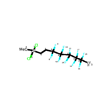 CO[Si](Cl)(Cl)CCC(F)(F)C(F)(F)C(F)(F)C(F)(F)C(F)(F)C(F)(F)F